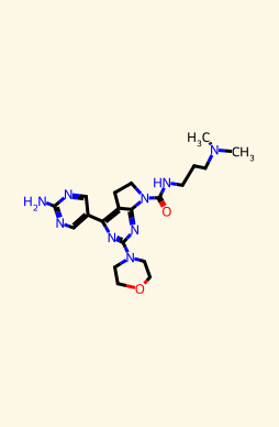 CN(C)CCCNC(=O)N1CCc2c(-c3cnc(N)nc3)nc(N3CCOCC3)nc21